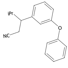 CC(C)C(CC#N)c1cccc(Oc2ccccc2)c1